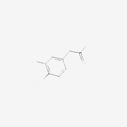 N=C(Cc1ccc(O)c(O)c1)C(=O)O